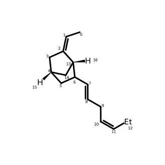 C/C=C1/C[C@H]2CC(/C=C/C/C=C\CC)[C@@H]1C2